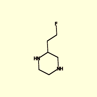 FCCC1CNCCN1